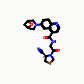 N#C[C@@H]1CSCN1C(=O)CNC(=O)c1ccnc2ccc(N3CC4CC(C3)O4)cc12